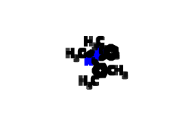 CCN(C)[N+]1(Cc2ccccc2)C=C(C)N=C1c1cc(C)cc(C)c1